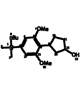 CCCC[Si](C)(C)c1cc(OC)c(C2CCC(O)C2)c(OC)c1